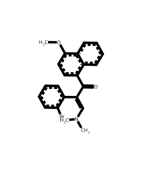 COc1ccc(C(=O)/C(=C/N(C)C)c2ccccc2Br)c2ccccc12